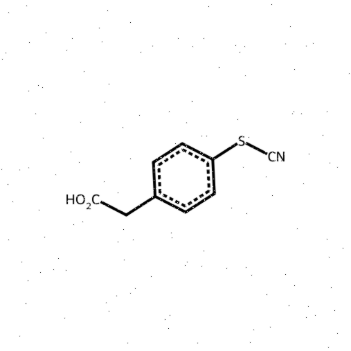 N#CSc1ccc(CC(=O)O)cc1